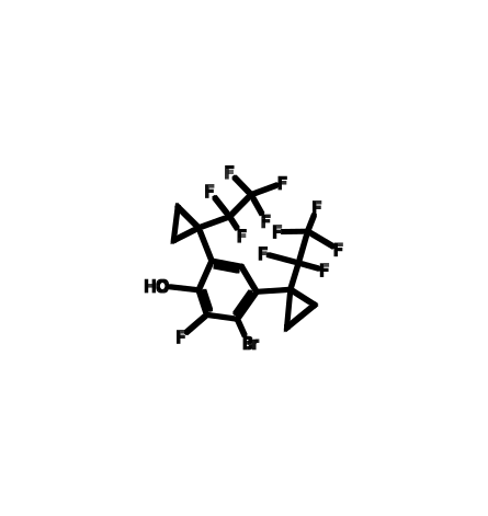 Oc1c(C2(C(F)(F)C(F)(F)F)CC2)cc(C2(C(F)(F)C(F)(F)F)CC2)c(Br)c1F